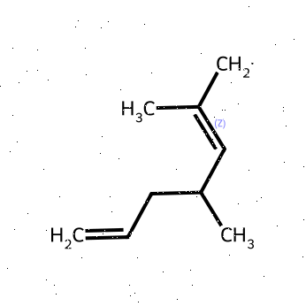 [CH2]/C(C)=C/C(C)CC=C